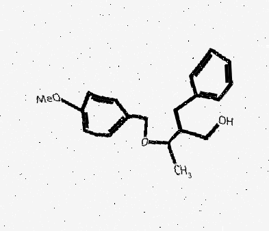 COc1ccc(COC(C)C(CO)Cc2ccccc2)cc1